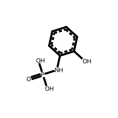 O=P(O)(O)Nc1ccccc1O